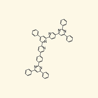 c1ccc(-c2cc(-c3ccc(-c4ccc(-c5nc(-c6ccccc6)cc(-c6ccccc6)n5)cc4)cn3)nc(-c3ccc(-c4cc(-c5ccccc5)nc(-c5ccccc5)n4)cn3)c2)cc1